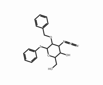 [N-]=[N+]=NC1C(O)C(CO)OC(Sc2ccccc2)C1OCc1ccccc1